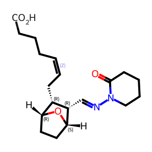 O=C(O)CCC/C=C\C[C@@H]1[C@H](C=NN2CCCCC2=O)[C@@H]2CC[C@H]1O2